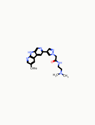 COc1cnc2[nH]c3cnc(-c4cnn(CC(=O)NCCN(C)C)c4)cc3c2c1